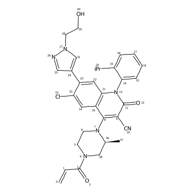 C=CC(=O)N1CCN(c2c(C#N)c(=O)n(-c3ccccc3C(C)C)c3cc(-c4cnn(CCO)c4)c(Cl)cc23)[C@@H](C)C1